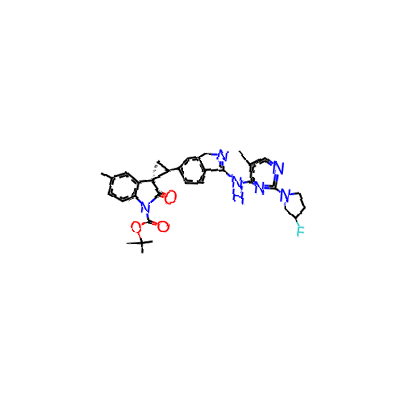 Cc1ccc2c(c1)[C@]1(C[C@H]1c1ccc3c(c1)CN=C3Nc1nc(N3CC[C@@H](F)C3)ncc1C)C(=O)N2C(=O)OC(C)(C)C